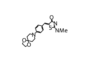 CNC1=NC(=O)C(=Cc2ccc(N3CCC4(CC3)OCCO4)cc2)S1